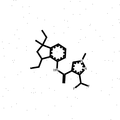 C=C(Nc1cccc2c1C(CC)CC2(C)CC)c1cn(C)nc1C(F)F